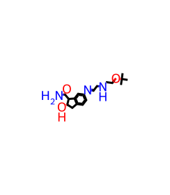 CC(C)(C)OCCNCC=Nc1ccc2c(c1)C(C(N)=O)C(O)C2